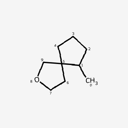 CC1CCCC12CCOC2